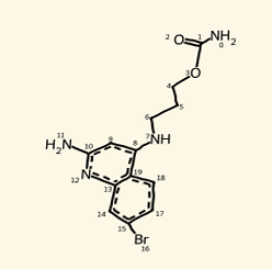 NC(=O)OCCCNc1cc(N)nc2cc(Br)ccc12